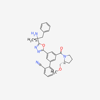 COC[C@H]1CCCN1C(=O)c1cc(-c2nnc([C@](C)(N)Cc3ccccc3)o2)cc(-c2ccccc2C#N)c1